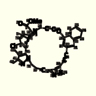 COC(=O)c1c(C)c2c3c(Cl)ccc2n1CCCOc1cc(cc2ccccc12)CCc1cc(nn1C)CCCn1nc(C)c(C)c1-3